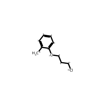 Cc1ccccc1OCCCCl